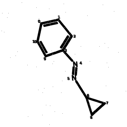 c1ccc(N=NC2CC2)cc1